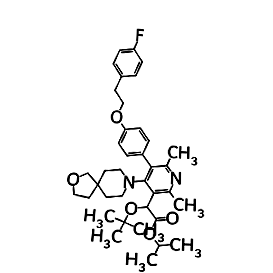 Cc1nc(C)c(C(OC(C)(C)C)C(=O)OC(C)C)c(N2CCC3(CCOC3)CC2)c1-c1ccc(OCCc2ccc(F)cc2)cc1